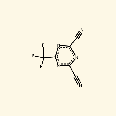 N#Cc1nc(C#N)nc(C(F)(F)F)n1